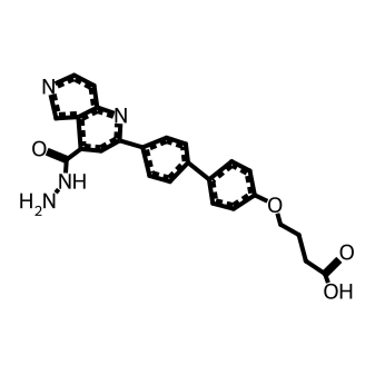 NNC(=O)c1cc(-c2ccc(-c3ccc(OCCCC(=O)O)cc3)cc2)nc2ccncc12